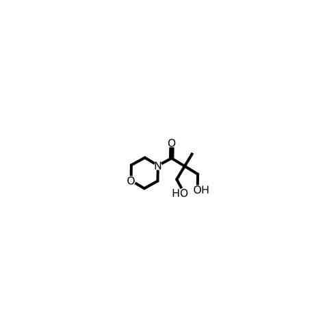 CC(CO)(CO)C(=O)N1CCOCC1